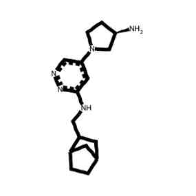 N[C@@H]1CCN(c2cnnc(NCC3CC4CCC3C4)c2)C1